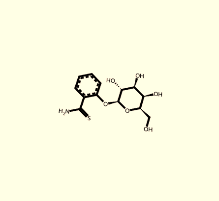 NC(=S)c1ccccc1O[C@@H]1O[C@H](CO)[C@H](O)[C@H](O)[C@H]1O